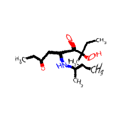 CCC(=O)CC(NC(C)CC)C(=O)C(C)(O)CC